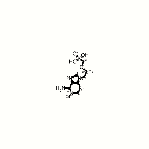 C[C@H](Cn1cnc2c1N=CN(C)C2N)OCP(=O)(O)O